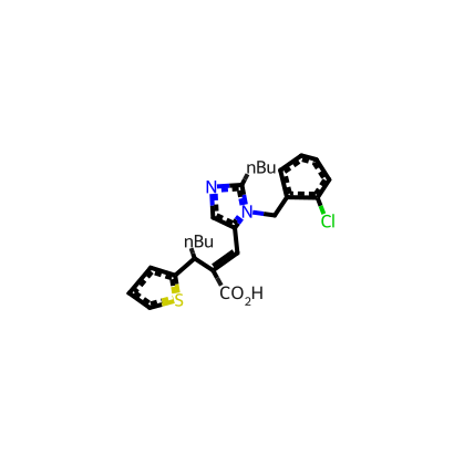 CCCCc1ncc(/C=C(/C(=O)O)C(CCCC)c2cccs2)n1Cc1ccccc1Cl